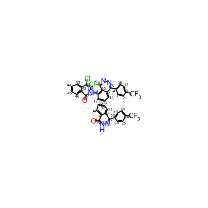 FC(F)(F)c1ccc(-c2nnc(Cl)c3ccccc23)cc1.O=c1[nH]nc(-c2ccc(C(F)(F)F)cc2)c2ccccc12.O=c1[nH]nc(Cl)c2ccccc12